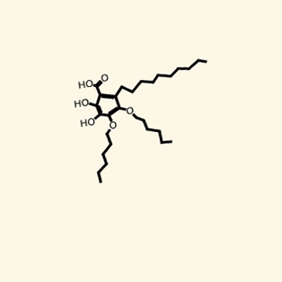 CCCCCCCCCCc1c(OCCCCCC)c(OCCCCCC)c(O)c(O)c1C(=O)O